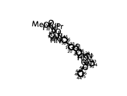 COC(=O)N[C@H](C(=O)N1CCC[C@H]1c1nc2ccc(-c3ccc4c(c3)sc3cc(-c5cnc([C@@H]6CCCN6C(=O)OCc6ccccc6)[nH]5)ccc34)cc2[nH]1)C(C)C